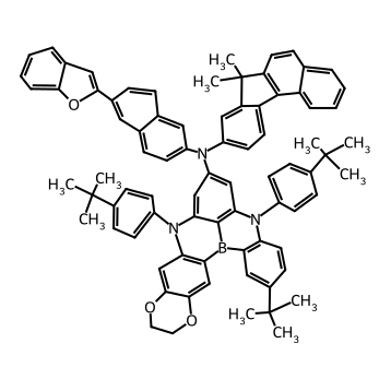 CC(C)(C)c1ccc(N2c3ccc(C(C)(C)C)cc3B3c4cc5c(cc4N(c4ccc(C(C)(C)C)cc4)c4cc(N(c6ccc7c(c6)C(C)(C)c6ccc8ccccc8c6-7)c6ccc7cc(-c8cc9ccccc9o8)ccc7c6)cc2c43)OCCO5)cc1